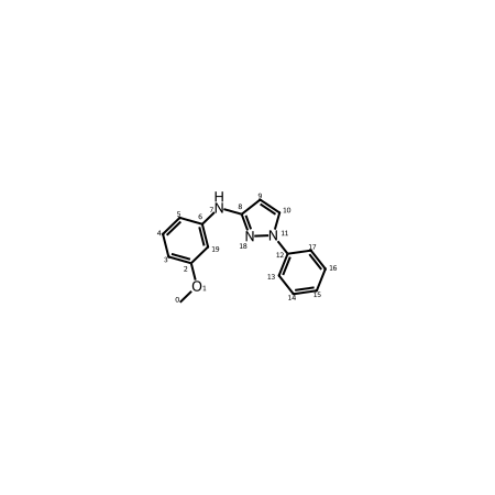 COc1cccc(Nc2ccn(-c3ccccc3)n2)c1